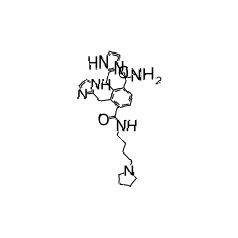 NC(=O)c1ccc(C(=O)NCCCCN2CCCC2)c(Cc2ncc[nH]2)c1Cc1ncc[nH]1